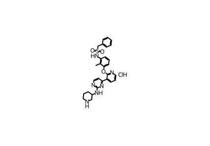 Cc1c(NS(=O)(=O)Cc2ccccc2)cccc1Oc1ncccc1-c1ccnc(NC2CCCNC2)n1.Cl